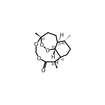 C[C@@H]1CC[C@@H]2[C@@H]3OO[C@@](C)(CC[C@H]31)OCOC(=O)[C@@H]2C